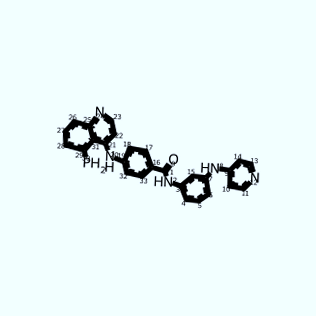 O=C(Nc1cccc(Nc2ccncc2)c1)c1ccc(Nc2ccnc3cccc(P)c23)cc1